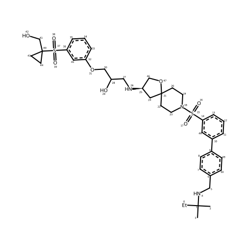 CCC(C)(C)NCc1ccc(-c2cccc(S(=O)(=O)N3CCC4(CC3)C[C@@H](NCC(O)COc3cccc(S(=O)(=O)C5(CO)CC5)c3)CO4)c2)cc1